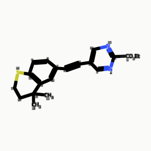 CCOC(=O)c1ncc(C#Cc2ccc3c(c2)C(C)(C)CCS3)cn1